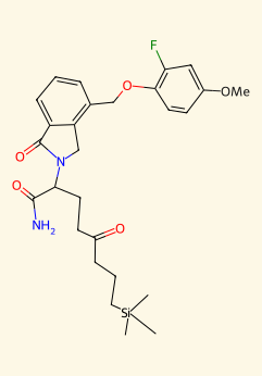 COc1ccc(OCc2cccc3c2CN(C(CCC(=O)CCC[Si](C)(C)C)C(N)=O)C3=O)c(F)c1